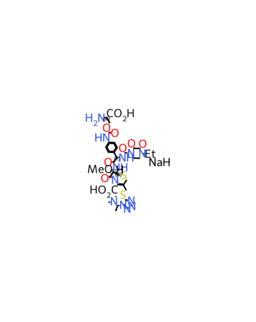 CCN1CCN(C(=O)N[C@@H](C(=O)N[C@]2(OC)C(=O)N3C(C(=O)O)=C(CSc4nnnn4C(C)N(C)C)CS[C@@H]32)c2ccc(NC(=O)OC[C@@H](N)C(=O)O)cc2)C(=O)C1=O.[NaH]